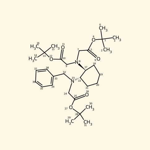 CC(C)(C)OC(=O)CN(CC(=O)OC(C)(C)C)[C@H]1CCCC[C@@H]1N(CC(=O)OC(C)(C)C)Cc1ccccc1